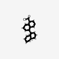 O=C(Cl)c1cccc2c(-c3cccc4ccccc34)cccc12